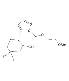 COCCOCn1nccc1[C@H]1CCC(F)(F)CC1O